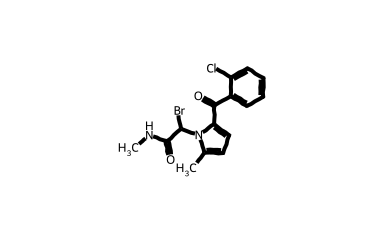 CNC(=O)C(Br)n1c(C)ccc1C(=O)c1ccccc1Cl